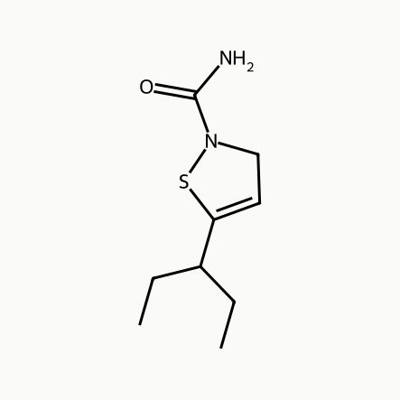 CCC(CC)C1=CCN(C(N)=O)S1